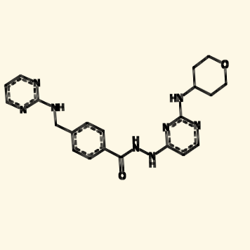 O=C(NNc1ccnc(NC2CCOCC2)n1)c1ccc(CNc2ncccn2)cc1